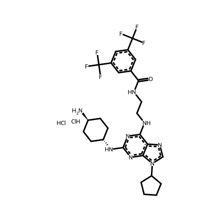 Cl.Cl.N[C@H]1CC[C@H](Nc2nc(NCCNC(=O)c3cc(C(F)(F)F)cc(C(F)(F)F)c3)c3ncn(C4CCCC4)c3n2)CC1